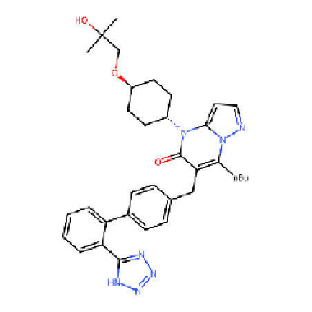 CCCCc1c(Cc2ccc(-c3ccccc3-c3nnn[nH]3)cc2)c(=O)n([C@H]2CC[C@H](OCC(C)(C)O)CC2)c2ccnn12